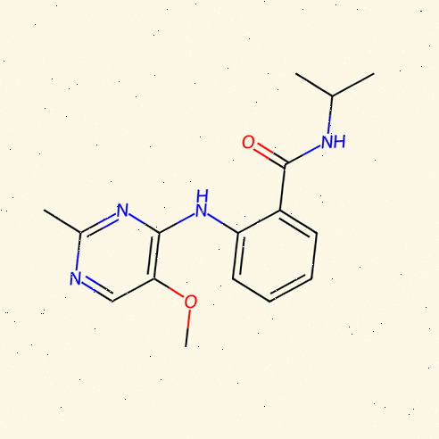 COc1cnc(C)nc1Nc1ccccc1C(=O)NC(C)C